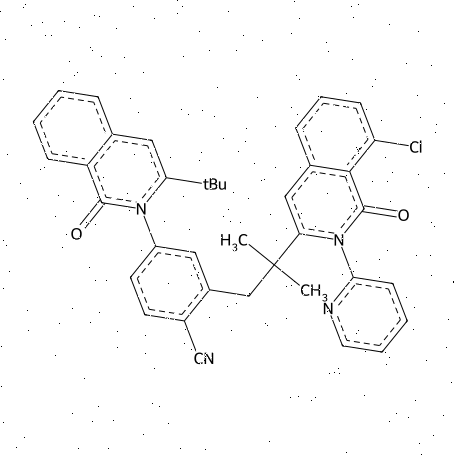 CC(C)(C)c1cc2ccccc2c(=O)n1-c1ccc(C#N)c(CC(C)(C)c2cc3cccc(Cl)c3c(=O)n2-c2ccccn2)c1